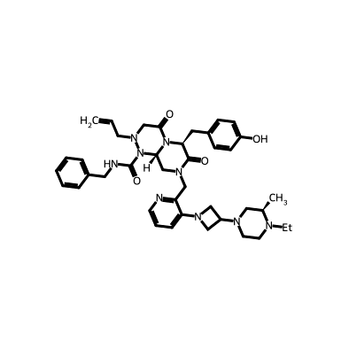 C=CCN1CC(=O)N2[C@@H](Cc3ccc(O)cc3)C(=O)N(Cc3ncccc3N3CC(N4CCN(CC)[C@H](C)C4)C3)C[C@@H]2N1C(=O)NCc1ccccc1